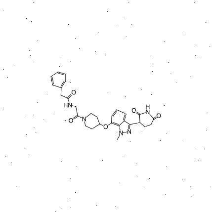 Cn1nc(C2CCC(=O)NC2=O)c2cccc(OC3CCN(C(=O)CNC(=O)Cc4ccccc4)CC3)c21